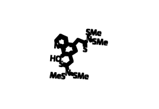 CSN(SC)C(=S)Cc1cc(CC(=S)N(SC)SC)c2cccnc2c1O